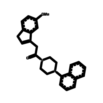 COc1ccc2c(c1)C(CC(=O)N1CCN(c3cccc4ccccc34)CC1)=CC2